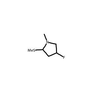 CSC1CC(F)CN1C